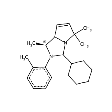 Cc1ccccc1N1C(C2CCCCC2)N2C(C=CC2(C)C)[C@@H]1C